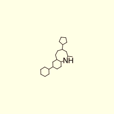 CC1CC(C2CCCC2)CCC2CC(C3CCCCC3)CCC2N1